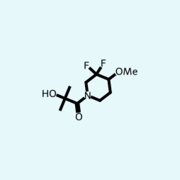 COC1CCN(C(=O)C(C)(C)O)CC1(F)F